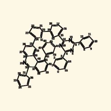 c1ccc(-c2nc(-c3ccccc3)nc(-c3cccc(-c4cccc(-c5ccc6nc(-c7ccccc7)c7cccc(-c8ccccc8)c7c6c5)c4)c3)n2)cc1